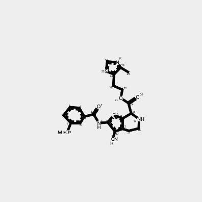 COc1cccc(C(=O)Nc2sc3c(c2C#N)CCNC3C(=O)OCCc2scnc2C)c1